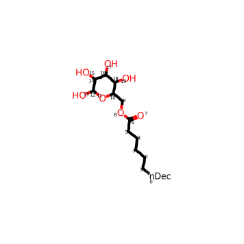 CCCCCCCCCCCCCCCC(=O)OCC1OC(O)C(O)C(O)C1O